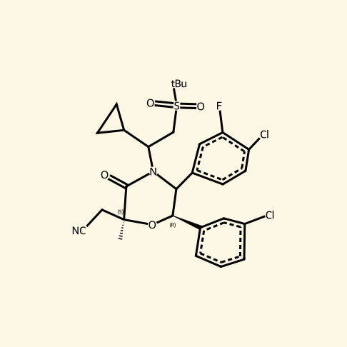 CC(C)(C)S(=O)(=O)CC(C1CC1)N1C(=O)[C@](C)(CC#N)O[C@H](c2cccc(Cl)c2)C1c1ccc(Cl)c(F)c1